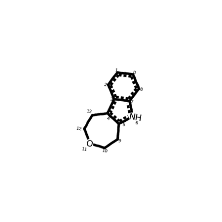 c1ccc2c3c([nH]c2c1)CCOCC3